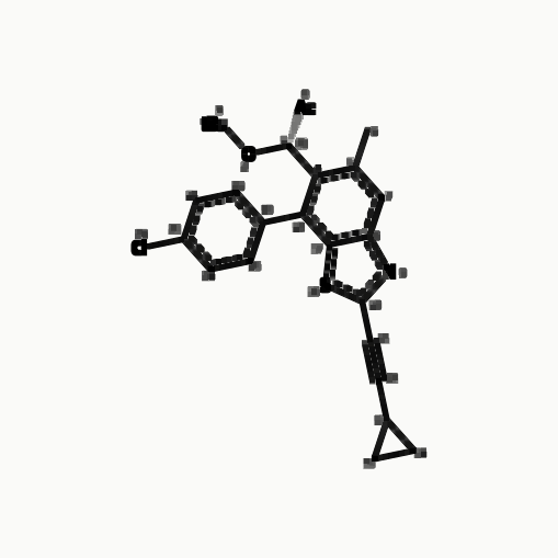 CC(=O)[C@@H](OC(C)(C)C)c1c(C)cc2nc(C#CC3CC3)sc2c1-c1ccc(Cl)cc1